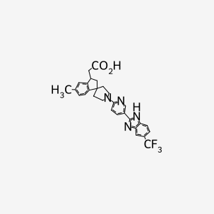 Cc1ccc2c(c1)C(CC(=O)O)CC21CCN(c2ccc(-c3nc4cc(C(F)(F)F)ccc4[nH]3)cn2)CC1